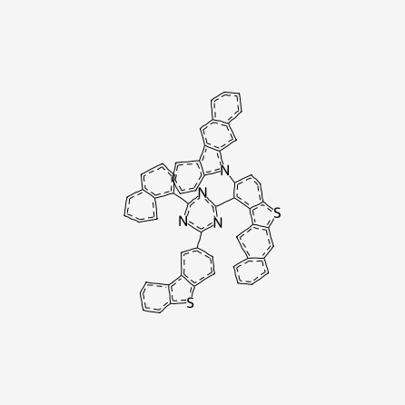 c1ccc2cc3c(cc2c1)sc1ccc(-n2c4ccccc4c4cc5ccccc5cc42)c(-c2nc(-c4ccc5sc6ccccc6c5c4)nc(-c4cccc5ccccc45)n2)c13